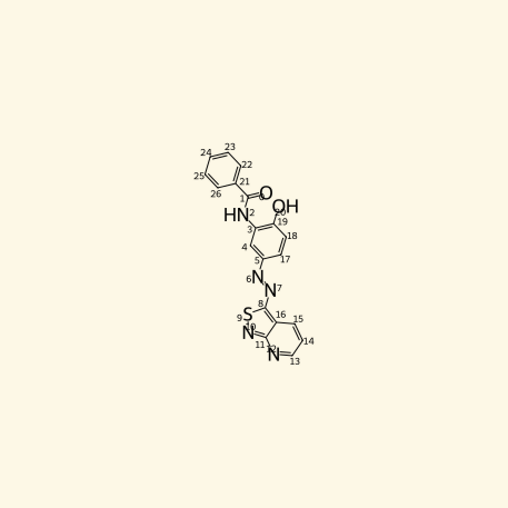 O=C(Nc1cc(/N=N/c2snc3ncccc23)ccc1O)c1ccccc1